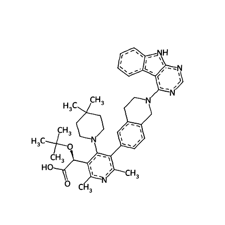 Cc1nc(C)c([C@H](OC(C)(C)C)C(=O)O)c(N2CCC(C)(C)CC2)c1-c1ccc2c(c1)CCN(c1ncnc3[nH]c4ccccc4c13)C2